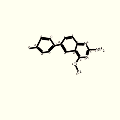 CCOc1nc(N)nc2ccc(-c3ccc(C)cc3)cc12